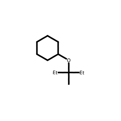 CCC(C)(CC)OC1CCCCC1